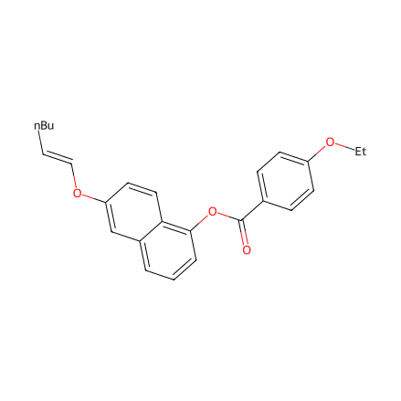 CCCCC=COc1ccc2c(OC(=O)c3ccc(OCC)cc3)cccc2c1